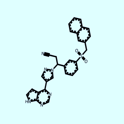 N#CCC(c1cccc(S(=O)(=O)Cc2ccc3ccccc3c2)c1)n1cc(-c2ncnc3[nH]ccc23)cn1